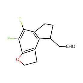 O=CCC1CCc2c(F)c(F)c3c(c21)CCO3